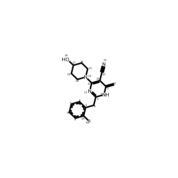 C=C1NC(Cc2ccccc2F)=NC(N2CCC(O)CC2)=C1C#N